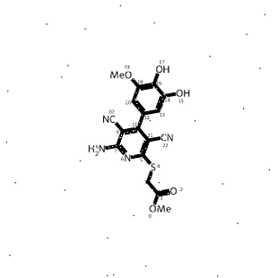 COC(=O)CSc1nc(N)c(C#N)c(-c2cc(O)c(O)c(OC)c2)c1C#N